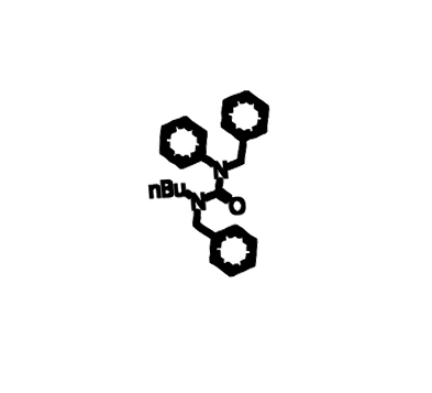 CCCCN(Cc1ccccc1)C(=O)N(Cc1ccccc1)c1ccccc1